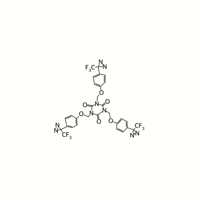 O=c1n(COc2ccc(C3(C(F)(F)F)N=N3)cc2)c(=O)n(COc2ccc(C3(C(F)(F)F)N=N3)cc2)c(=O)n1COc1ccc(C2(C(F)(F)F)N=N2)cc1